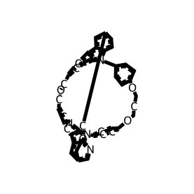 c1cc2c3cc1COCc1cnc4c(c1)c1cc5cnc1n4-c1ccc(cc1)OCCCOc1ccc(cc1)-n2c1ccc(cc31)COC5